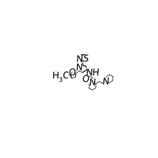 Cc1ccc(-c2cc(NC(=O)CN3CCCCC3CCN3CCCCC3)cc(-c3nccs3)n2)o1